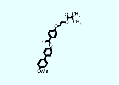 C=C(C)C(=O)OCCOc1ccc(C(=O)Oc2ccc(-c3ccc(OC)cc3)cc2)cc1